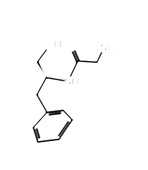 NCC(=O)N[C@H](CO)Cc1ccccc1